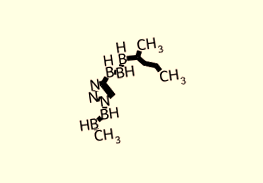 CBBn1cc(BBBC(C)CCC)nn1